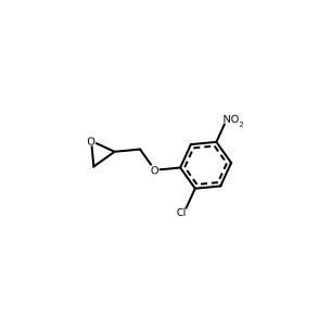 O=[N+]([O-])c1ccc(Cl)c(OCC2CO2)c1